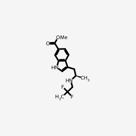 COC(=O)c1ccc2c(C[C@@H](C)NCC(C)(F)F)c[nH]c2c1